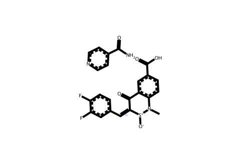 CN1c2ccc(C(=O)O)cc2C(=O)/C(=C\c2ccc(F)c(F)c2)[S+]1[O-].NC(=O)c1ccncc1